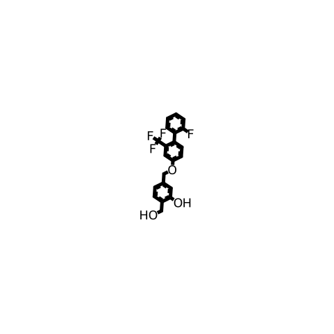 OCc1ccc(COc2ccc(-c3ccccc3F)c(C(F)(F)F)c2)cc1O